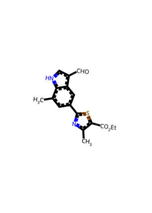 CCOC(=O)c1sc(-c2cc(C)c3[nH]cc(C=O)c3c2)nc1C